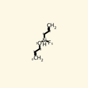 C=CCO[SiH](F)CC=C